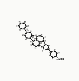 CCCCc1ccc(-c2cc3c(s2)-c2ccc4c5c(ccc-3c25)-c2cc(-c3ccccc3)ccc2-4)cc1